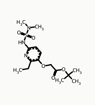 CCc1nc(NS(=O)(=O)N(C)C)ccc1OCC(=O)OC(C)(C)C